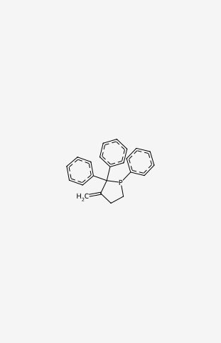 C=C1CCP(c2ccccc2)C1(c1ccccc1)c1ccccc1